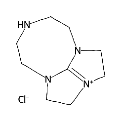 C1CN2CC[N+]3=C2N(CCN1)CC3.[Cl-]